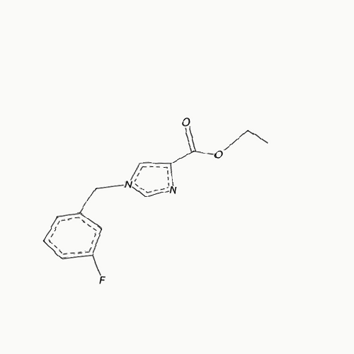 CCOC(=O)c1cn(Cc2cccc(F)c2)cn1